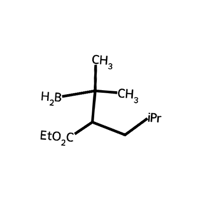 BC(C)(C)C(CC(C)C)C(=O)OCC